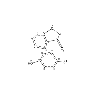 O=C1COc2ccccc21.Oc1ccc(S)cc1